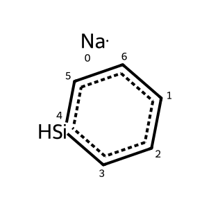 [Na].c1cc[siH]cc1